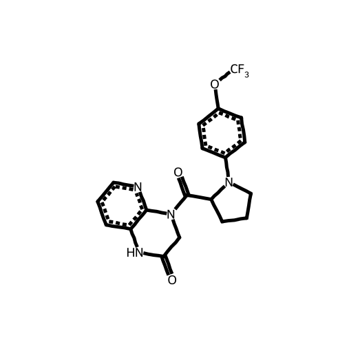 O=C1CN(C(=O)C2CCCN2c2ccc(OC(F)(F)F)cc2)c2ncccc2N1